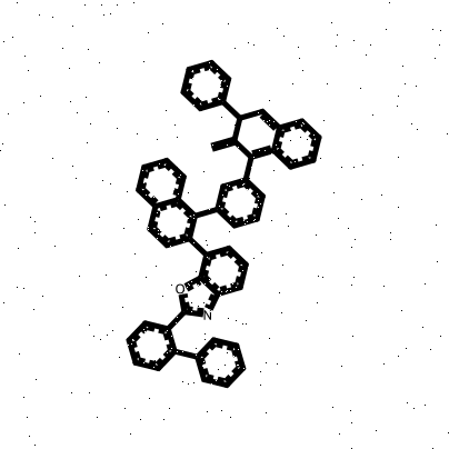 C=C1C(c2cccc(-c3c(-c4cccc5nc(-c6ccccc6-c6ccccc6)oc45)ccc4ccccc34)c2)=c2ccccc2=CC1c1ccccc1